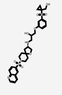 O=S(=O)(c1ccc2ncccc2c1)N1CCC2(CC1)C[C@@H](NCC(O)COc1cccc(S(=O)(=O)C3(CO)CC3)c1)CO2